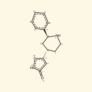 O=c1cc([C@H]2CCN[C@H](c3ccccc3)C2)o[nH]1